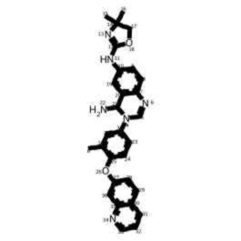 Cc1cc(N2C=Nc3ccc(NC4=NC(C)(C)CO4)cc3C2N)ccc1Oc1ccc2cccnc2c1